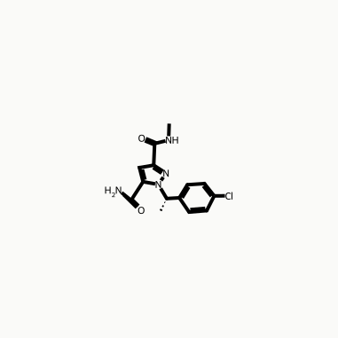 CNC(=O)c1cc(C(N)=O)n([C@@H](C)c2ccc(Cl)cc2)n1